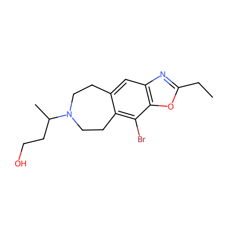 CCc1nc2cc3c(c(Br)c2o1)CCN(C(C)CCO)CC3